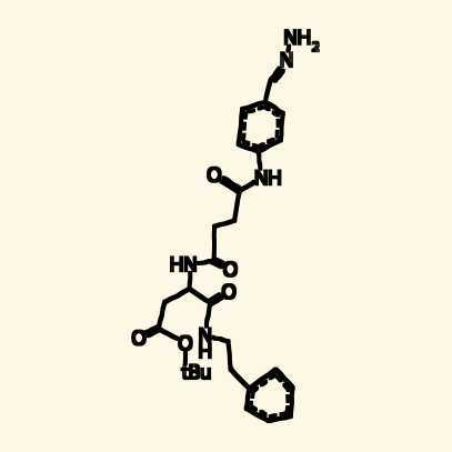 CC(C)(C)OC(=O)CC(NC(=O)CCC(=O)Nc1ccc(C=NN)cc1)C(=O)NCCc1ccccc1